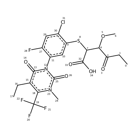 CCC(=O)C(OC)C(Sc1cc(-n2c(=O)c(CC)c(C(F)(F)F)n(C)c2=O)c(F)cc1Cl)C(=O)O